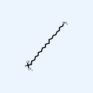 NCCCCCCCCCCCCCCCCCCCC(F)(C(F)(F)F)C(F)(F)F